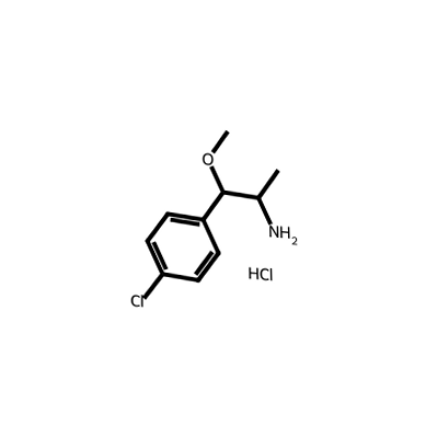 COC(c1ccc(Cl)cc1)C(C)N.Cl